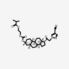 CC(C)C(=O)OCCOC(=O)O[C@]1(C)CC[C@H]2[C@H](CC[C@@H]3[C@@H]2CC[C@]2(C)[C@@H](C(=O)Cn4cc(C#N)cn4)CC[C@@H]32)C1